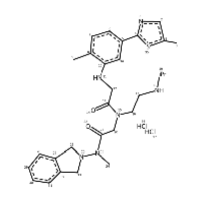 Cc1cnc(-c2ccc(C)c(NCC(=O)N(CCNC(C)C)CC(=O)N(C)N3Cc4ccccc4C3)c2)s1.Cl.Cl